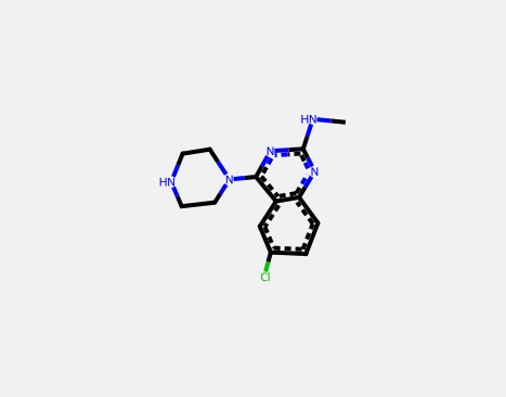 CNc1nc(N2CCNCC2)c2cc(Cl)ccc2n1